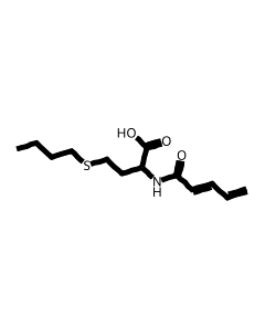 C=CC=CC(=O)NC(CCSCCCC)C(=O)O